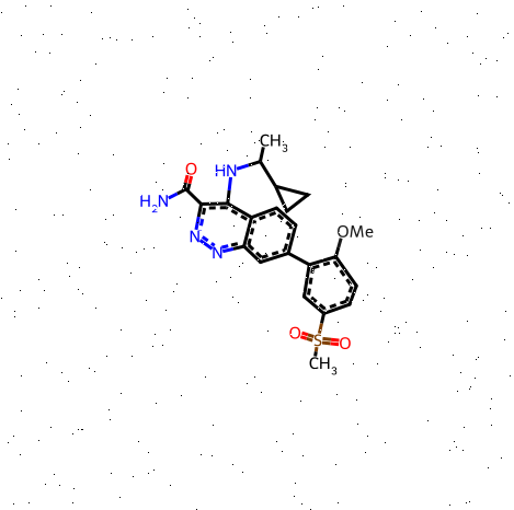 COc1ccc(S(C)(=O)=O)cc1-c1ccc2c(NC(C)C3CC3)c(C(N)=O)nnc2c1